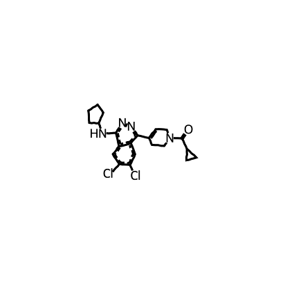 O=C(C1CC1)N1CC=C(c2nnc(NC3CCCC3)c3cc(Cl)c(Cl)cc23)CC1